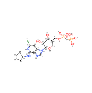 O=P(O)(O)CP(=O)(O)OC[C@H]1CO[C@@H](n2cnc3c(NC4CCCC4)nc(Cl)cc32)[C@H](O)[C@@H]1O